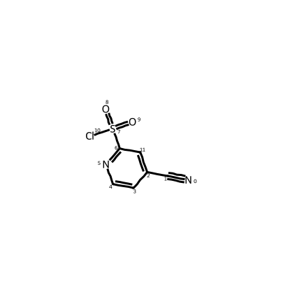 N#Cc1ccnc(S(=O)(=O)Cl)c1